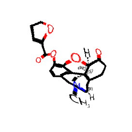 CN1CC[C@]23c4c5ccc(OC(=O)C6CCCO6)c4O[C@H]2C(=O)CCC3[C@H]1C5